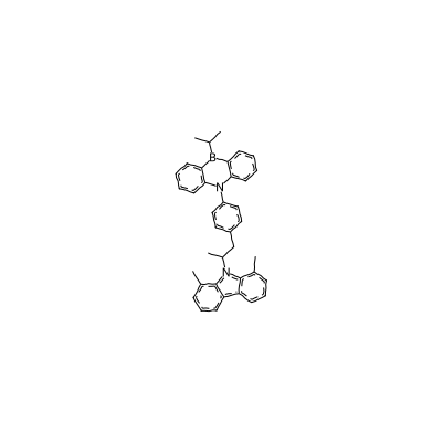 Cc1cccc2c3cccc(C)c3n(C(C)Cc3ccc(N4c5ccccc5B(C(C)C)c5ccccc54)cc3)c12